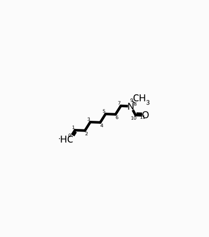 [CH]=CCCCCCCN(C)C=O